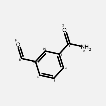 NC(=O)c1cccc([C]=O)c1